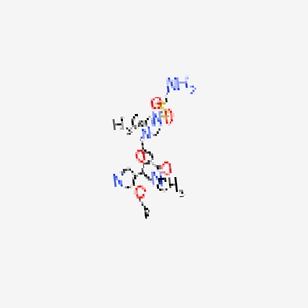 C[C@@H]1CN(S(=O)(=O)CCN)CCN1Cc1cc2c(=O)n(C)cc(-c3ccncc3OCC3CC3)c2o1